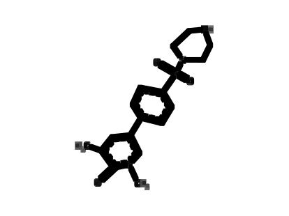 Cc1cc(-c2ccc(S(=O)(=O)N3CCNCC3)cc2)cn(C)c1=O